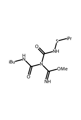 CCC(C)NC(=O)N(C(=N)OC)C(=O)NSC(C)C